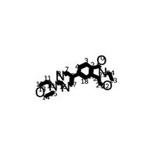 O=C1c2ccc(-c3cnc(N4CCOCC4)nc3)cc2C2COCCN12